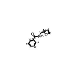 O=C(NCc1ncco1)c1ccccc1